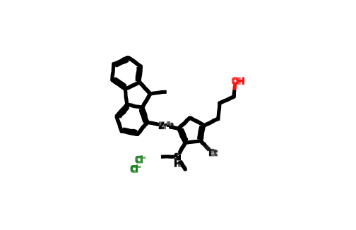 CCC1=C(CCCO)C[C]([Zr+2][c]2cccc3c2C(C)c2ccccc2-3)=C1[SiH](C)C.[Cl-].[Cl-]